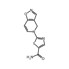 NC(=O)c1cnc(N2C=Cc3oncc3C2)s1